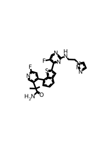 CC(C)(C(N)=O)c1cnc(F)cc1-c1cccc2cc(-c3nc(NCCn4ccnn4)ncc3F)sc12